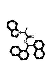 C[C@@H](C(=O)OC(c1cccc2ccccc12)c1cccc2ccccc12)n1ccc2ccccc21